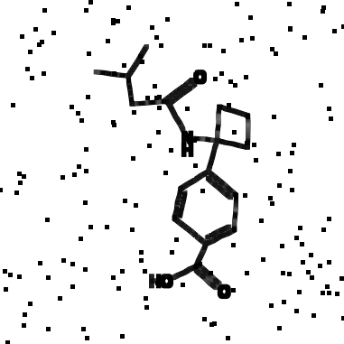 CC(C)CC(=O)NC1(c2ccc(C(=O)O)cc2)CCC1